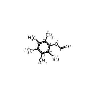 Cc1c(C)c(C)c(OC=O)c(C)c1C